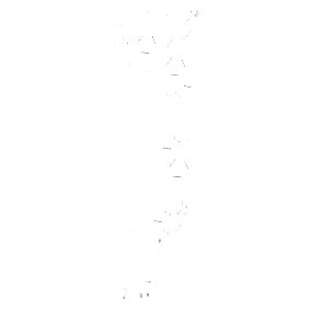 Cn1c(=O)n([C@@H]2O[C@H](COP(=O)(O)CP(=O)(O)O)C(O)C2O)cc/c1=N/OCc1ccc(C(=O)NCCCCNC(=O)c2ccc(C3=C4C=CC(=N)C(S(=O)(=O)O)C4Oc4c3ccc(N)c4S(=O)(=O)O)c(C(=O)O)c2)cc1